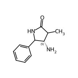 CC1C(=O)NC(c2ccccc2)[C@H]1N